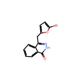 O=c1[nH]nc(Cc2ccc(Br)o2)c2ccccc12